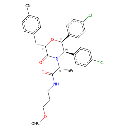 CCC[C@H](C(=O)NCCCOC=O)N1C(=O)[C@H](Cc2ccc(C#N)cc2)O[C@@H](c2ccc(Cl)cc2)[C@H]1c1ccc(Cl)cc1